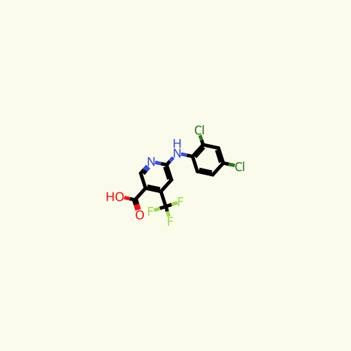 O=C(O)c1cnc(Nc2ccc(Cl)cc2Cl)cc1C(F)(F)F